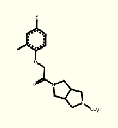 Cc1cc(Cl)ccc1OCC(=O)N1CC2CN(C(=O)O)CC2C1